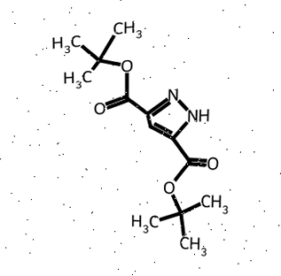 CC(C)(C)OC(=O)c1cc(C(=O)OC(C)(C)C)[nH]n1